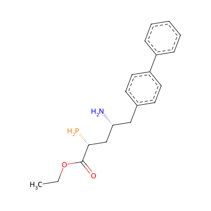 CCOC(=O)[C@H](P)C[C@H](N)Cc1ccc(-c2ccccc2)cc1